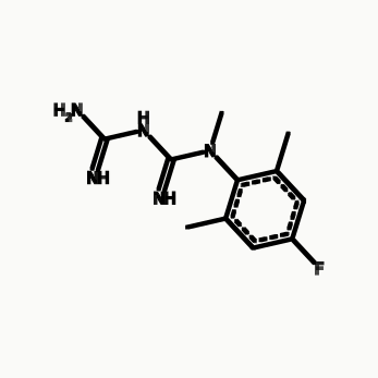 Cc1cc(F)cc(C)c1N(C)C(=N)NC(=N)N